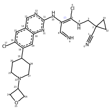 N#CC1(CN/C(Cl)=C(\C=N)Nc2ncc3cc(Cl)c(C4CCN(C5COC5)CC4)cc3n2)CC1